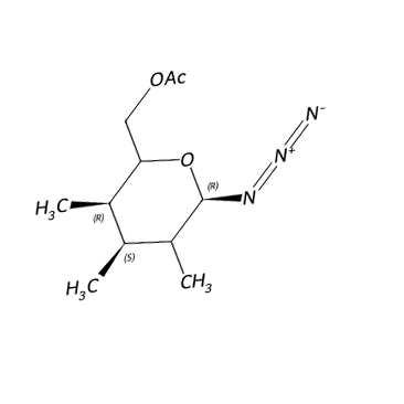 CC(=O)OCC1O[C@@H](N=[N+]=[N-])C(C)[C@@H](C)[C@H]1C